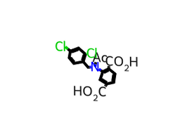 CC(=O)N(Cc1ccc(Cl)cc1Cl)c1cc(C(=O)O)ccc1C(=O)O